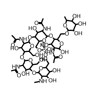 CNC1C(OC2C(CO)OC(OC3C(CO)OC(OC4C(COS(=O)(=O)O)OC(OC5C(COC6OC(C)C(O)C(O)C6O)OC(O)C(NC(C)=O)C5O)C(NC(C)=O)C4O)C(NC(C)=O)C3O)C(NC(C)=O)C2O)OC(CO)C(O)C1O